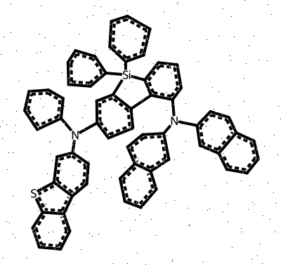 c1ccc(N(c2ccc3c(c2)[Si](c2ccccc2)(c2ccccc2)c2cccc(N(c4ccc5ccccc5c4)c4ccc5ccccc5c4)c2-3)c2ccc3c(c2)sc2ccccc23)cc1